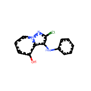 Oc1cccn2nc(Cl)c(Nc3ccccc3)c12